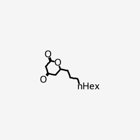 CCCCCCCCCC1CC(=O)CC(=O)O1